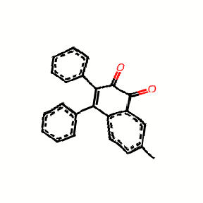 Cc1ccc2c(c1)C(=O)C(=O)C(c1ccccc1)=C2c1ccccc1